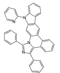 c1ccc(-c2nc(-c3ccccc3)n3c4cc5c(cc4c4ccccc4c23)c2ccccc2n5-c2ccccn2)cc1